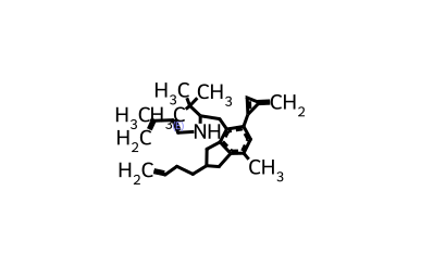 C=CCCC1Cc2c(C)cc(C3=CC3=C)c(CC(N/C=C/C(=C)C)C(C)(C)C)c2C1